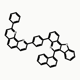 c1ccc(-c2ccc3ccc4ccc(-c5ccc(-c6cccc7c6nc(-c6cccc8ccccc68)c6c8ccccc8oc76)cc5)nc4c3n2)cc1